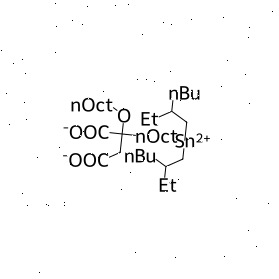 CCCCC(CC)[CH2][Sn+2][CH2]C(CC)CCCC.CCCCCCCCOC(CCCCCCCC)(CC(=O)[O-])C(=O)[O-]